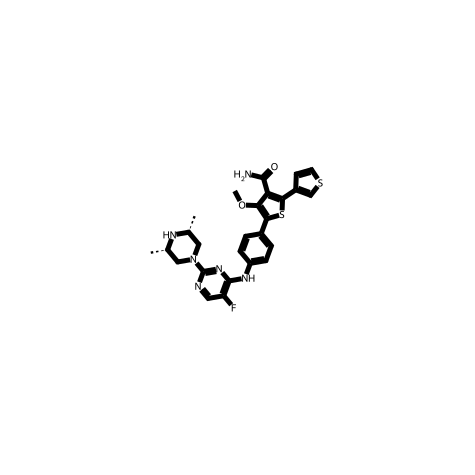 COc1c(-c2ccc(Nc3nc(N4C[C@@H](C)N[C@@H](C)C4)ncc3F)cc2)sc(-c2ccsc2)c1C(N)=O